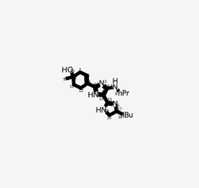 CCCNc1nc(C2=CCC(C)(O)CC2)[nH]c1C1=NC(C(C)CC)CN1